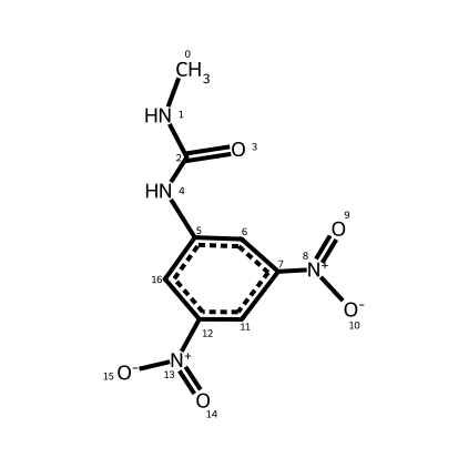 CNC(=O)Nc1cc([N+](=O)[O-])cc([N+](=O)[O-])c1